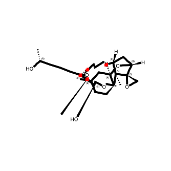 CC1CC[C@@]23COC[C@@H](O)[C@H](C)CCO[C@@H]([C@@H](C)O)CCCCCO[C@@H]4C[C@@H](O[C@@H]2C1)[C@@]1(CO1)[C@]43C